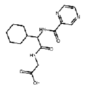 O=C(O)CNC(=O)C(NC(=O)c1cnccn1)C1CCCCC1